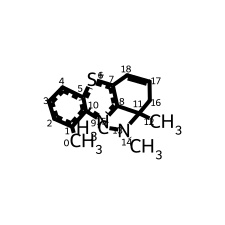 Cc1cccc2[s+]c3c(nc12)C(C)(N(C)C)CC=C3